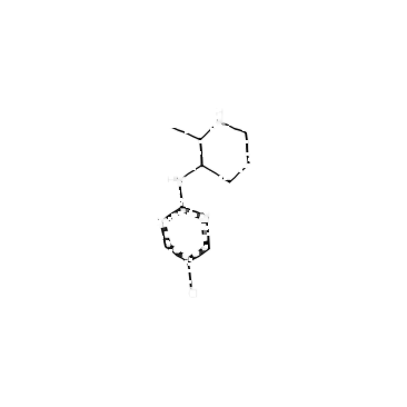 CC1NCCCC1Nc1ncc(Cl)cn1